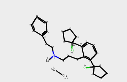 CC#N.CCN(CCCc1c(C2(Cl)CCCC2)cccc1C1(Cl)CCCC1)CCc1ccccc1